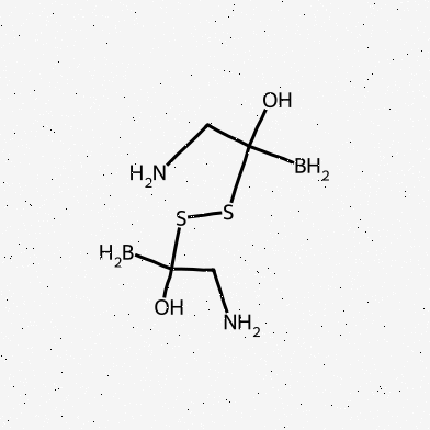 BC(O)(CN)SSC(B)(O)CN